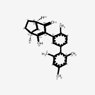 Cc1cc(C)c(-c2ccc(C)c(C3=C(O)[C@H]4CC[C@H](C4)C3=O)c2)c(C)c1